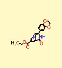 CCOC(=O)c1cc2c(=O)[nH]c(-c3ccc4c(c3)OCCO4)cn2c1